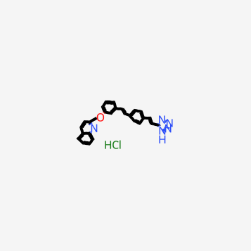 C(=Cc1cccc(OCc2ccc3ccccc3n2)c1)c1ccc(C=Cc2nnn[nH]2)cc1.Cl